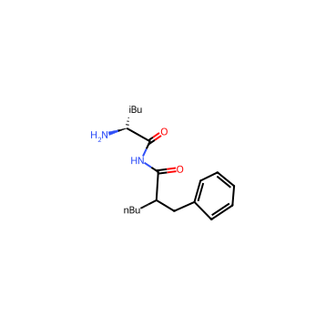 CCCCC(Cc1ccccc1)C(=O)NC(=O)[C@@H](N)[C@@H](C)CC